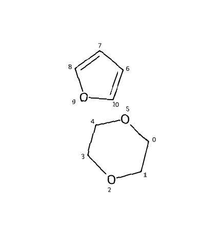 C1COCCO1.c1ccoc1